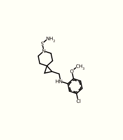 COc1ccc(Cl)cc1NCC1CC12CCN(SN)CC2